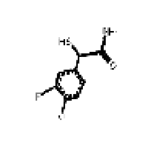 [NH]C(=O)C(S)c1ccc(Cl)c(F)c1